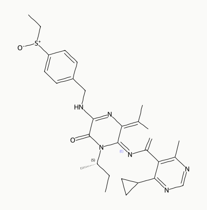 C=C(/N=C1\C(=C(C)C)N=C(NCc2ccc([S+]([O-])CC)cc2)C(=O)N1[C@@H](C)CC)c1c(C)ncnc1C1CC1